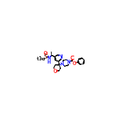 C[C@H](N[S@+]([O-])C(C)(C)C)c1cncc(C2(N3CCN(C(=O)Oc4ccccc4)CC3)CCOCC2)c1